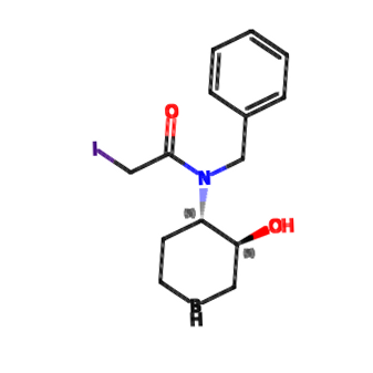 O=C(CI)N(Cc1ccccc1)[C@H]1CCBC[C@@H]1O